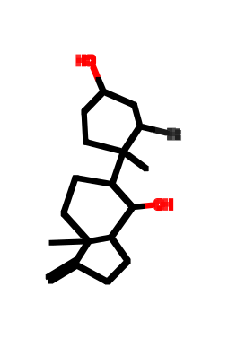 C=C1CCC2C(O)C(C3(C)CCC(O)CC3CC)CCC12C